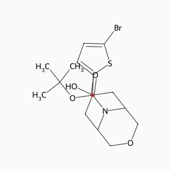 CC(C)(C)OC(=O)N1C2COCC1CC(O)(c1ccc(Br)s1)C2